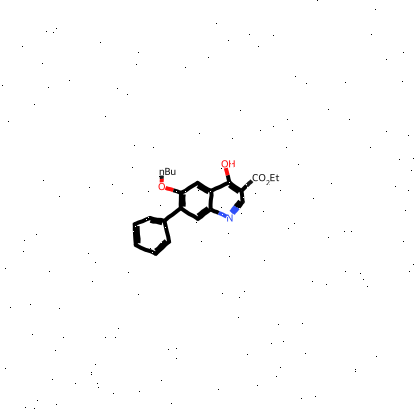 CCCCOc1cc2c(O)c(C(=O)OCC)cnc2cc1-c1ccccc1